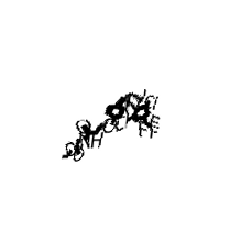 CCOC(=O)CNC(=O)CCOc1ccc2cnn(-c3c(Cl)cc(C(F)(F)F)cc3Cl)c2c1